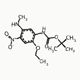 CCOc1cc([N+](=O)[O-])c(NC)cc1NC(=O)OC(C)(C)C